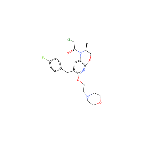 C[C@H]1COc2nc(OCCN3CCOCC3)c(Cc3ccc(F)cc3)cc2N1C(=O)CCl